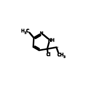 C[CH]C1(Cl)C=CC(C)=NN1